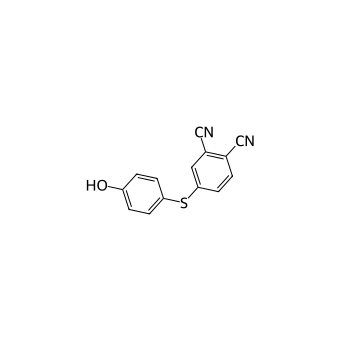 N#Cc1ccc(Sc2ccc(O)cc2)cc1C#N